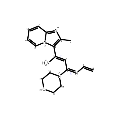 C=C/N=C(\C=C(/N)c1c(C)nc2ccccn12)N1CCOCC1